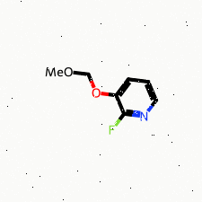 COCOc1cccnc1F